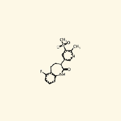 Cc1ncc(C2CCc3c(F)cccc3NC2=O)cc1S(C)(=O)=O